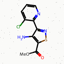 COC(=O)c1snc(-c2ncccc2Cl)c1N